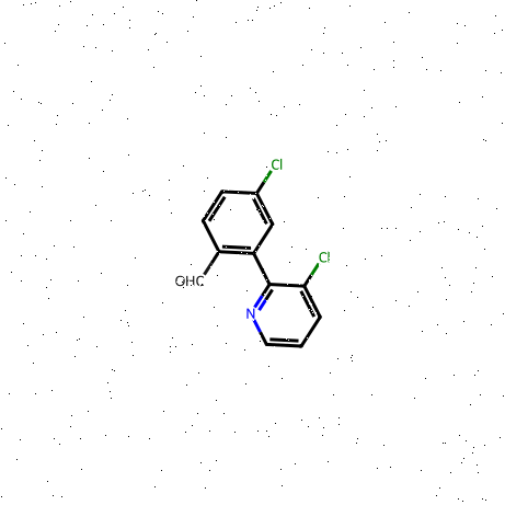 O=Cc1ccc(Cl)cc1-c1ncccc1Cl